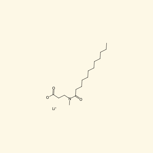 CCCCCCCCCCCC(=O)N(C)CCC(=O)[O-].[Li+]